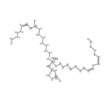 CCCCC/C=C\C/C=C\CCCCCCCCC(O)(CCCCCCCCC(C)C/C=C\CCCCC)OC1CCN(C)C1